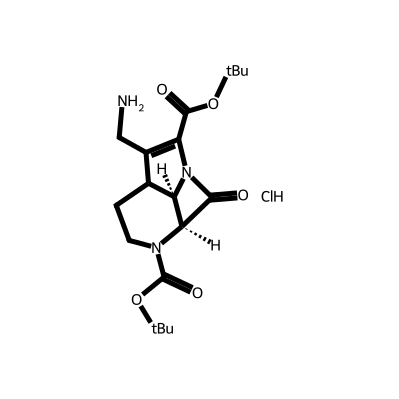 CC(C)(C)OC(=O)C1=C(CN)C2CCN(C(=O)OC(C)(C)C)[C@@H]3C(=O)N1[C@H]23.Cl